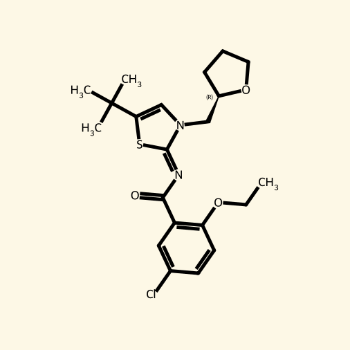 CCOc1ccc(Cl)cc1C(=O)N=c1sc(C(C)(C)C)cn1C[C@H]1CCCO1